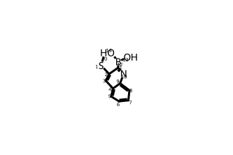 CSc1cc2ccccc2nc1B(O)O